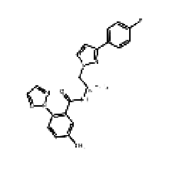 Cc1ccc(-n2nccn2)c(C(=O)N[C@@H](C)Cn2ccc(-c3ccc(F)cc3)n2)c1